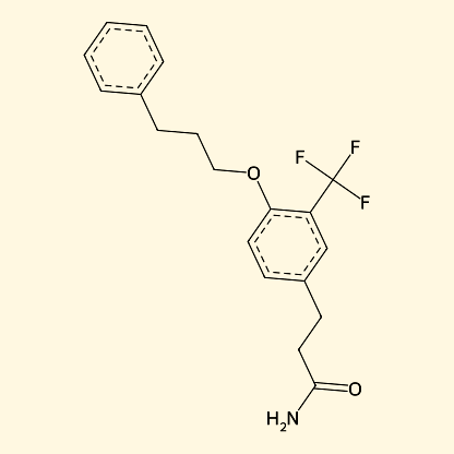 NC(=O)CCc1ccc(OCCCc2ccccc2)c(C(F)(F)F)c1